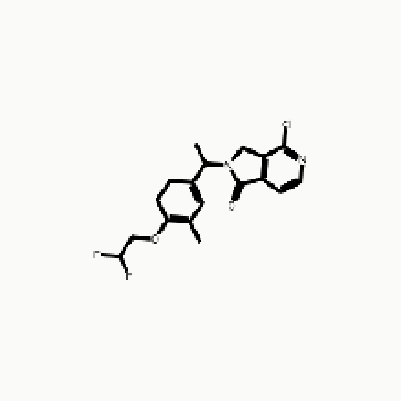 CC1=C(OCC(F)F)CCC(C(C)N2Cc3c(ccnc3Cl)C2=O)=C1